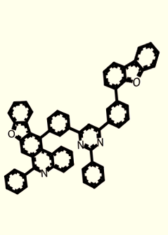 c1ccc(-c2nc(-c3cccc(-c4cccc5c4oc4ccccc45)c3)cc(-c3cccc(-c4c5c(cc6c(-c7ccccc7)nc7ccccc7c46)oc4ccccc45)c3)n2)cc1